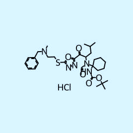 CC(C)CC(C(=O)c1nnc(SCCN(C)Cc2ccccc2)o1)N(C=O)C1(NC(=O)OC(C)(C)C)CCCCC1.Cl